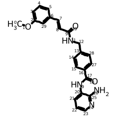 COc1cccc(/C=C/C(=O)NCc2ccc(C(=O)Nc3cccnc3N)cc2)c1